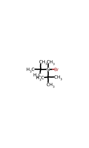 CC(C)(C)[Si](C)(Br)C(C)(C)C